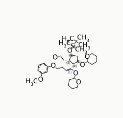 COc1cccc(OCC/C=C(/OC2CCCCO2)[C@@H]2[C@H](CC=O)[C@H](O[Si](C)(C)C(C)(C)C)C[C@@H]2OC2CCCCO2)c1